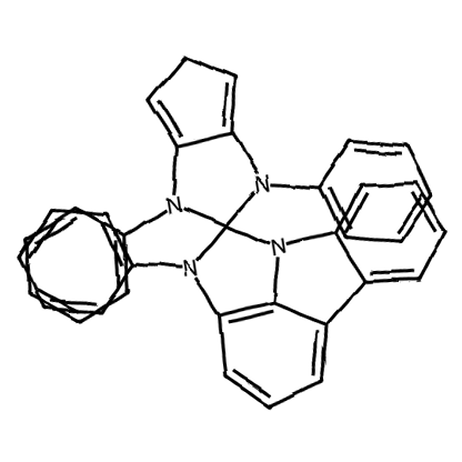 C1=C2C(=CC1)N(c1ccccc1)C1(N2c2ccccc2)N(c2ccccc2)c2cccc3c4ccccc4n1c23